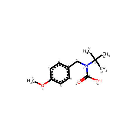 COc1ccc(CN(C(=O)O)C(C)(C)C)cc1